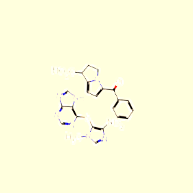 Cn1cnc([N+](=O)[O-])c1Sc1ncnc2nc[nH]c12.O=C(c1ccccc1)c1ccc2n1CCC2C(=O)O